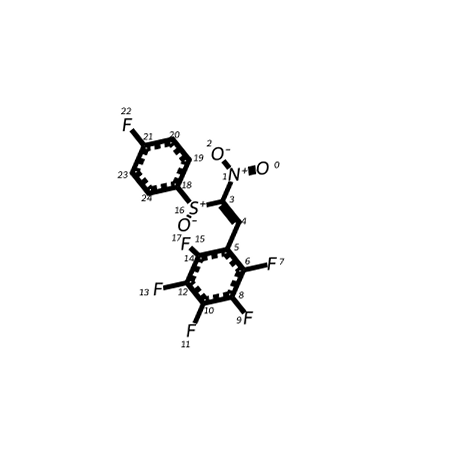 O=[N+]([O-])/C(=C/c1c(F)c(F)c(F)c(F)c1F)[S+]([O-])c1ccc(F)cc1